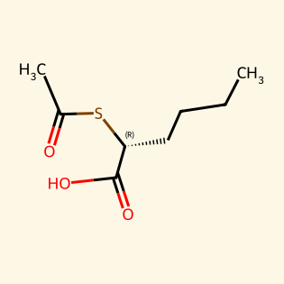 CCCC[C@@H](SC(C)=O)C(=O)O